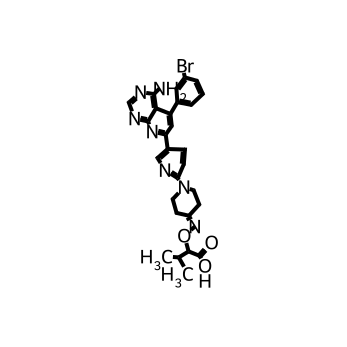 CC(C)C(ON=C1CCN(c2ccc(-c3cc(-c4cccc(Br)c4)c4c(N)ncnc4n3)cn2)CC1)C(=O)O